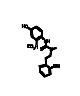 CN(CCc1ccccc1O)C(=S)Nc1ccc(O)cc1C(=O)O